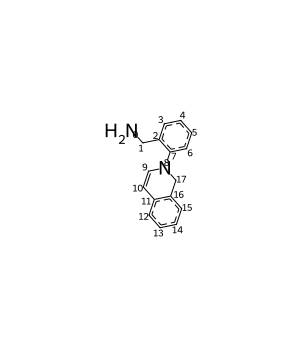 NCc1ccccc1N1C=Cc2ccccc2C1